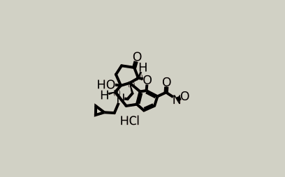 Cl.O=NC(=O)c1ccc2c3c1O[C@H]1C(=O)CCC4(O)[C@@H](C2)N(CC2CC2)CC[C@]314